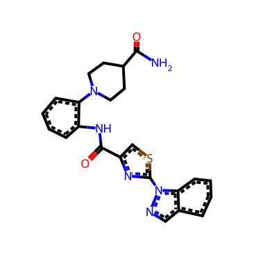 NC(=O)C1CCN(c2ccccc2NC(=O)c2csc(-n3ncc4ccccc43)n2)CC1